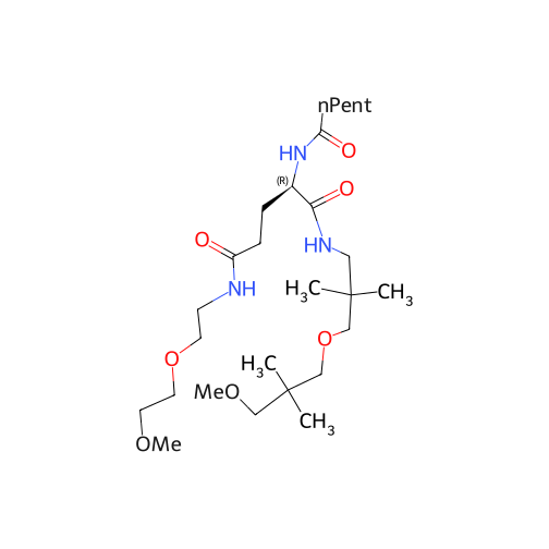 CCCCCC(=O)N[C@H](CCC(=O)NCCOCCOC)C(=O)NCC(C)(C)COCC(C)(C)COC